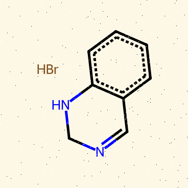 Br.C1=NCNc2ccccc21